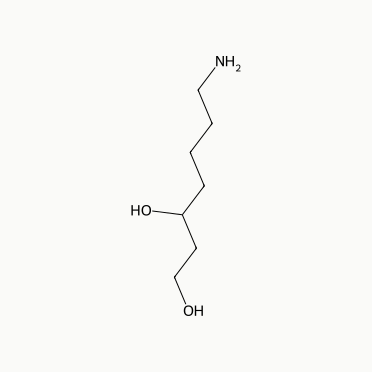 NCCCCC(O)CCO